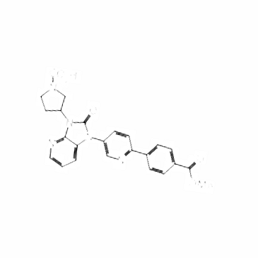 COC(=O)c1ccc(-c2ccc(-n3c(=O)n(C4CCN(C(=O)O)C4)c4ncccc43)cn2)cc1